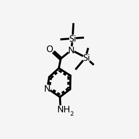 C[Si](C)(C)N(C(=O)c1ccc(N)nc1)[Si](C)(C)C